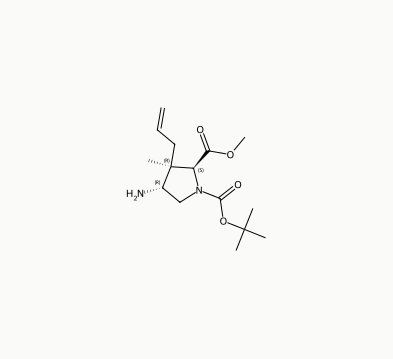 C=CC[C@]1(C)[C@@H](N)CN(C(=O)OC(C)(C)C)[C@@H]1C(=O)OC